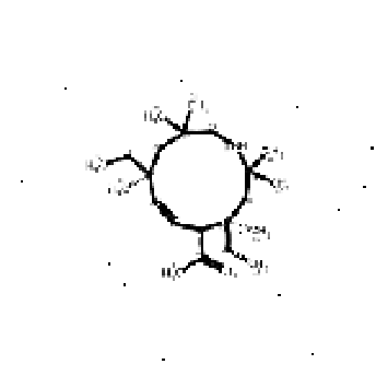 CC[C@]1(C)C=CC(C(C)=O)[C@](C)(CC)CC(C)(C)NCC(C)(C)C1